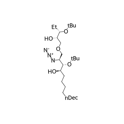 CCCCCCCCCCCCCC[C@@H](O)[C@@H](OC(C)(C)C)[C@H](COC[C@H](O)[C@H](CC)OC(C)(C)C)N=[N+]=[N-]